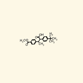 COC(=O)c1ccc(C(C)C(C(=O)O)c2ccc(C(C)(C)C)cc2)cc1